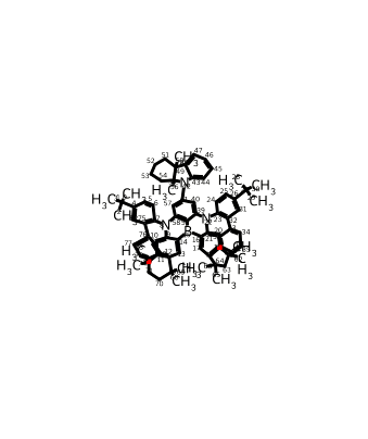 CC(C)(C)c1ccc(N2c3cc4c(cc3B3c5cc6c(cc5N(c5ccc(C(C)(C)C)cc5-c5ccccc5)c5cc(N7c8ccccc8C8(C)CCCCC78C)cc2c53)C(C)(C)CC6(C)C)C(C)(C)CCC4(C)C)c(-c2ccccc2)c1